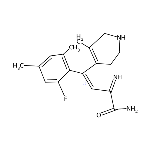 CC1=C(/C(=C\C(=N)C(N)=O)c2c(C)cc(C)cc2F)CCNC1